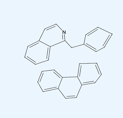 c1ccc(Cc2nccc3ccccc23)cc1.c1ccc2c(c1)ccc1ccccc12